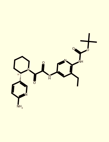 CCc1cc(NC(=O)C(=O)N2CCCC[C@H]2c2ccc(N)nc2)cnc1NC(=O)OC(C)(C)C